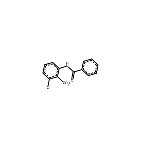 O=C(Nc1cccc(Cl)c1C(=O)O)c1ccccc1